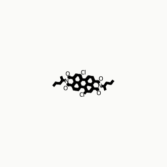 CCCC(C)N1C(=O)c2ccc3c4c(Cl)cc5c6c(ccc(c7c(Cl)cc(c2c37)C1=O)c64)C(=O)N(C(C)CCC)C5=O